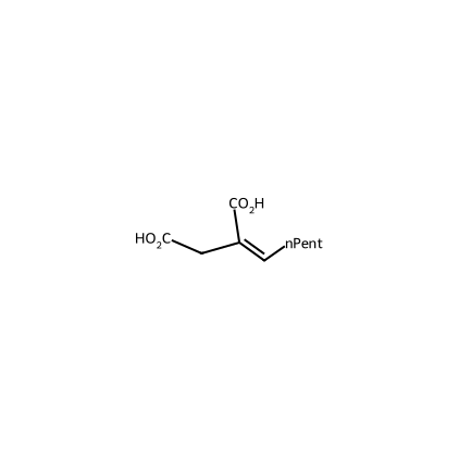 CCCCC/C=C(/CC(=O)O)C(=O)O